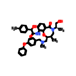 C[C@@H]1CN([C@@H](C)CO)C(=O)c2cccc(NC(=O)C(O)c3ccc(C(F)(F)F)cc3)c2O[C@@H]1CN(C)Cc1ccc(Oc2ccccc2)cc1